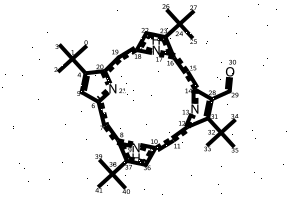 CC(C)(C)C1=Cc2cc3[nH]c(cc4nc(cc5[nH]c(cc1n2)cc5C(C)(C)C)C(C=O)=C4C(C)(C)C)cc3C(C)(C)C